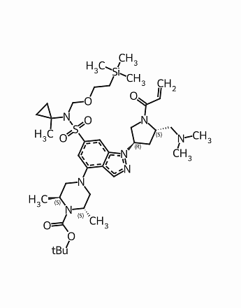 C=CC(=O)N1C[C@H](n2ncc3c(N4C[C@H](C)N(C(=O)OC(C)(C)C)[C@@H](C)C4)cc(S(=O)(=O)N(COCC[Si](C)(C)C)C4(C)CC4)cc32)C[C@H]1CN(C)C